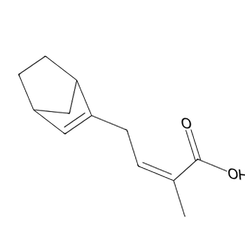 CC(=CCC1=CC2CCC1C2)C(=O)O